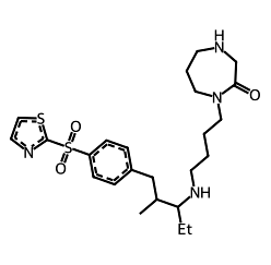 CCC(NCCCCN1CCCNCC1=O)C(C)Cc1ccc(S(=O)(=O)c2nccs2)cc1